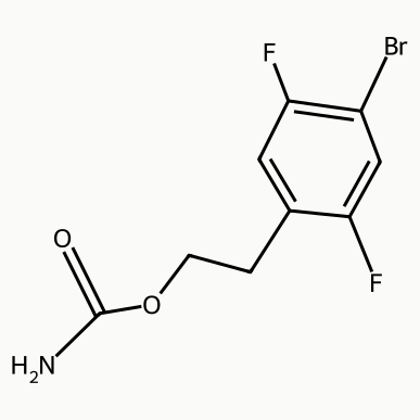 NC(=O)OCCc1cc(F)c(Br)cc1F